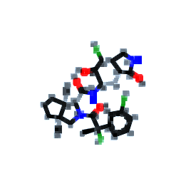 C[C@@](F)(C(=O)N1C[C@H]2CCC[C@H]2[C@@H]1C(=O)N[C@@H](C[C@@H]1CCNC1=O)C(=O)CF)c1cccc(F)c1